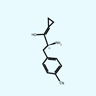 N#Cc1ccc(C[C@H](N)C(O)=C2CC2)cc1